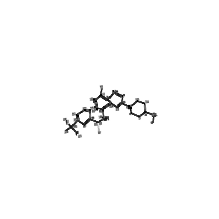 COC1CCN(c2cnc3c(C)nnc(N[C@H](C)c4cccc(C(C)(F)F)c4)c3c2)CC1